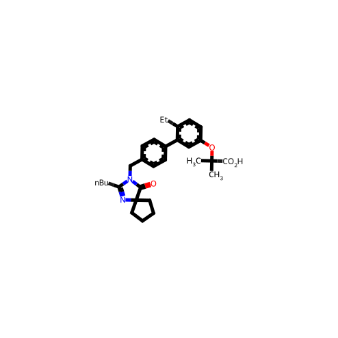 CCCCC1=NC2(CCCC2)C(=O)N1Cc1ccc(-c2cc(OC(C)(C)C(=O)O)ccc2CC)cc1